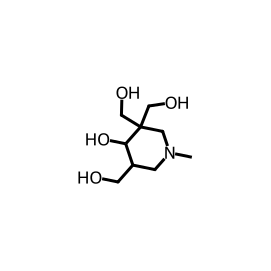 CN1CC(CO)C(O)C(CO)(CO)C1